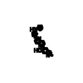 Cn1cc2cc(-c3ccc4nc(N5CCC(NC67CCC(C6)C7)C5)ccc4n3)c(O)cc2n1